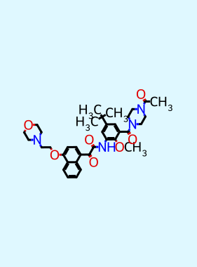 COc1c(NC(=O)C(=O)c2ccc(OCCN3CCOCC3)c3ccccc23)cc(C(C)(C)C)cc1C(=O)N1CCN(C(C)=O)CC1